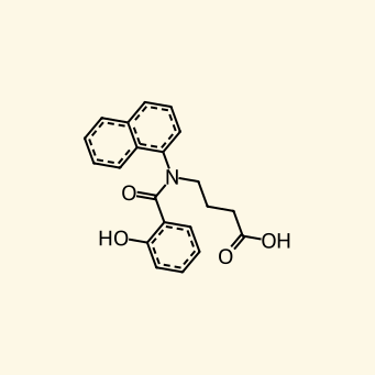 O=C(O)CCCN(C(=O)c1ccccc1O)c1cccc2ccccc12